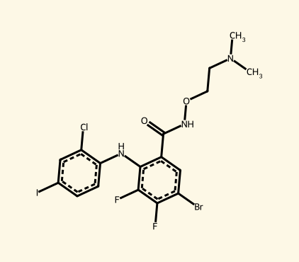 CN(C)CCONC(=O)c1cc(Br)c(F)c(F)c1Nc1ccc(I)cc1Cl